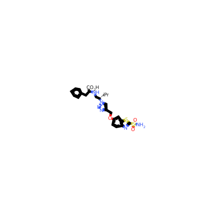 CC(C)[C@@H](CNC(Cc1ccccc1)C(=O)O)n1cc(COc2ccc3nc(S(N)(=O)=O)sc3c2)nn1